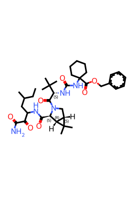 CCC(C)CC(NC(=O)[C@@H]1[C@@H]2[C@H](CN1C(=O)[C@@H](NC(=O)NC1(C(=O)OCc3ccccc3)CCCCC1)C(C)(C)C)C2(C)C)C(=O)C(N)=O